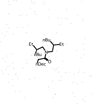 CCCCCCCCCCCC(=O)N(CC(CC)CCCC)CC(CC)CCCC